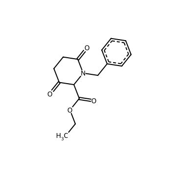 CCOC(=O)C1C(=O)CCC(=O)N1Cc1ccccc1